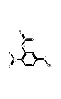 COc1ccc([N+](=O)[O-])c(N[SH](=O)=O)c1